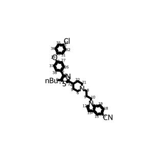 CCCCc1sc(C2CCN(CCCn3ccc4cc(C#N)ccc43)CC2)nc1-c1ccc(Oc2ccc(Cl)cc2)cc1